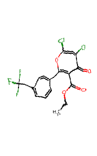 CCOC(=O)c1c(-c2cccc(C(F)(F)F)c2)oc(Cl)c(Cl)c1=O